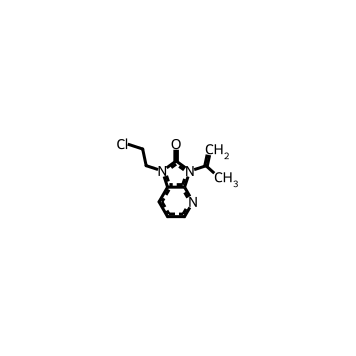 C=C(C)n1c(=O)n(CCCl)c2cccnc21